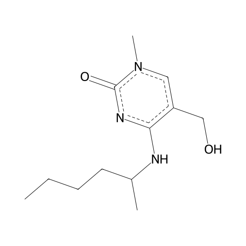 CCCCC(C)Nc1nc(=O)n(C)cc1CO